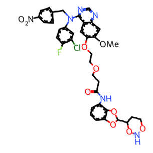 COc1cc2ncnc(N(Cc3ccc([N+](=O)[O-])cc3)c3ccc(F)c(Cl)c3)c2cc1OCCOCCC(=O)Nc1cccc2c1OC(C1CCONO1)O2